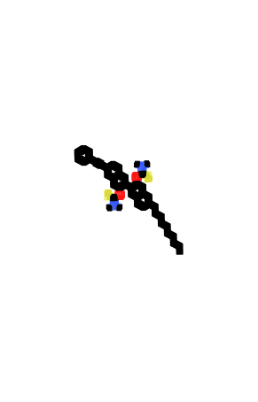 CCCCCCCCCCc1ccc2cc(-c3cc4ccc(C#Cc5ccccc5)cc4cc3OC(=S)N(C)C)c(OC(=S)N(C)C)cc2c1